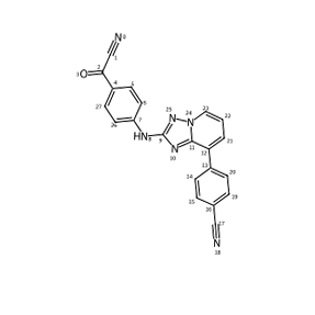 N#CC(=O)c1ccc(Nc2nc3c(-c4ccc(C#N)cc4)cccn3n2)cc1